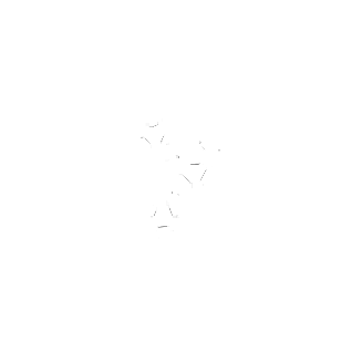 O=C(O)c1ccc(OCc2ccc(F)cc2)cc1OCc1ccccc1